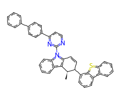 C[C@H]1c2c(n(-c3nccc(-c4ccc(-c5ccccc5)cc4)n3)c3ccccc23)C=CC1c1cccc2c1sc1ccccc12